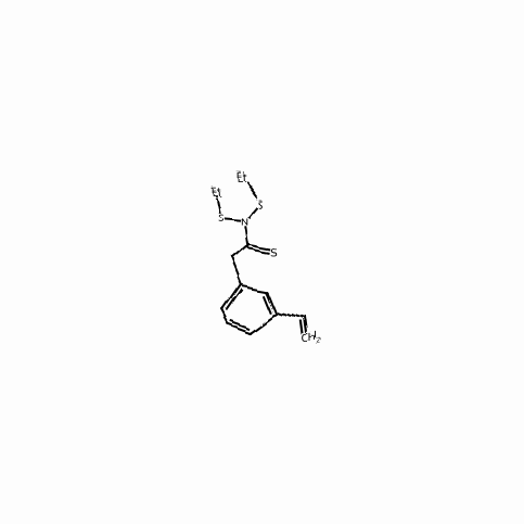 C=Cc1cccc(CC(=S)N(SCC)SCC)c1